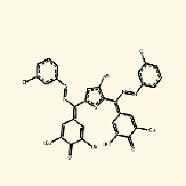 CCCc1cc(C(/N=N/c2cccc(Cl)c2)=C2C=C(C(C)(C)C)C(=O)C(C(C)(C)C)=C2)sc1C(/N=N/c1cccc(Cl)c1)=C1C=C(C(C)(C)C)C(=O)C(C(C)(C)C)=C1